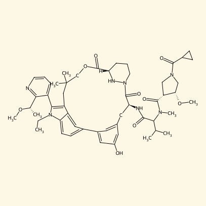 CCn1c(-c2cccnc2[C@H](C)OC)c2c3cc(ccc31)-c1cc(O)cc(c1)C[C@H](NC(=O)C(C(C)C)N(C)C(=O)[C@@H]1CN(C(=O)C3CC3)C[C@@H]1OC)C(=O)N1CCC[C@H](N1)C(=O)OCC(C)(C)C2